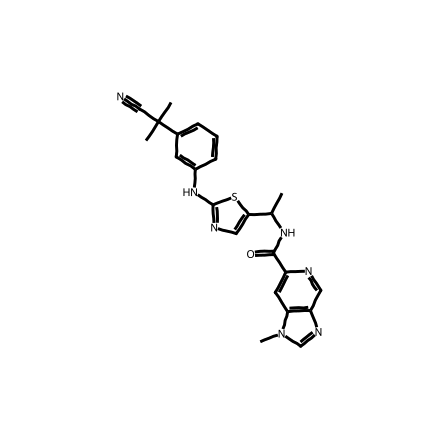 CC(NC(=O)c1cc2c(cn1)ncn2C)c1cnc(Nc2cccc(C(C)(C)C#N)c2)s1